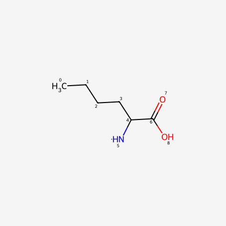 CCCCC([NH])C(=O)O